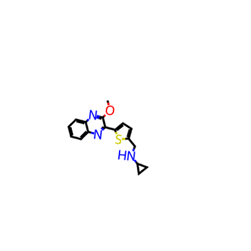 COc1nc2ccccc2nc1-c1ccc(CNC2CC2)s1